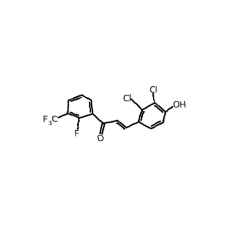 O=C(C=Cc1ccc(O)c(Cl)c1Cl)c1cccc(C(F)(F)F)c1F